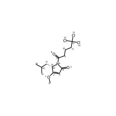 COC1=CC(=O)N(C(=O)CCCC(Cl)(Cl)Cl)[C@H]1CC(C)C